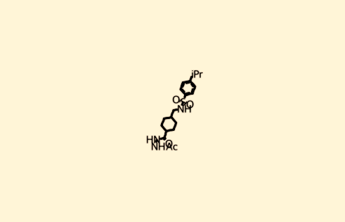 CC(=O)NNC(=O)C1CCC(CNS(=O)(=O)c2ccc(C(C)C)cc2)CC1